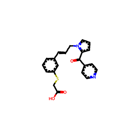 O=C(O)CSc1cccc(/C=C/Cn2cccc2C(=O)c2ccncc2)c1